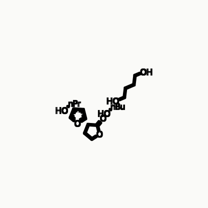 CCCCO.CCCO.O=C1CCCO1.OCCCCO.c1ccoc1